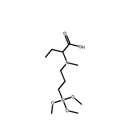 CCC(C(=O)O)N(C)CCC[Si](OC)(OC)OC